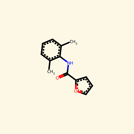 Cc1cccc(C)c1NC(=O)c1ccco1